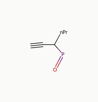 C#CC(CCC)P=O